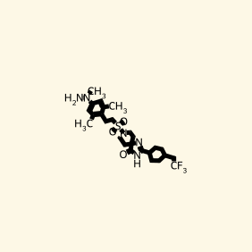 Cc1cc(N(C)N)cc(C)c1CCS(=O)(=O)N1CCC2(CC1)N=C(C1CCC(CC(F)(F)F)CC1)NC2=O